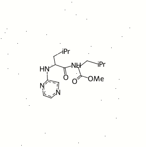 COC(=O)C(CC(C)C)NC(=O)C(CC(C)C)Nc1cnccn1